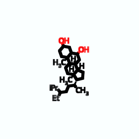 CCC(CCC(C)[C@H]1CC[C@H]2[C@@H]3CC(O)C4CC(O)CC[C@]4(C)[C@H]3CC[C@]12C)C(C)C